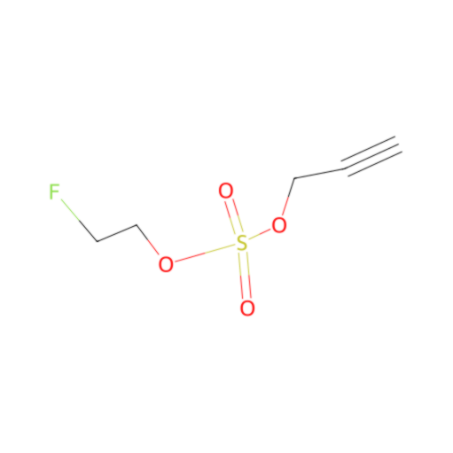 C#CCOS(=O)(=O)OCCF